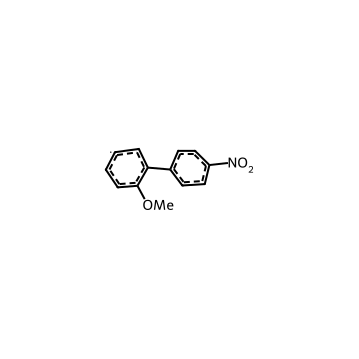 COc1cc[c]cc1-c1ccc([N+](=O)[O-])cc1